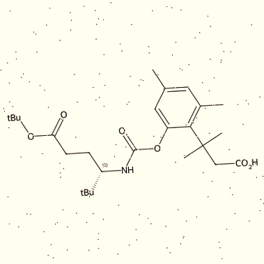 Cc1cc(C)c(C(C)(C)CC(=O)O)c(OC(=O)N[C@@H](CCC(=O)OC(C)(C)C)C(C)(C)C)c1